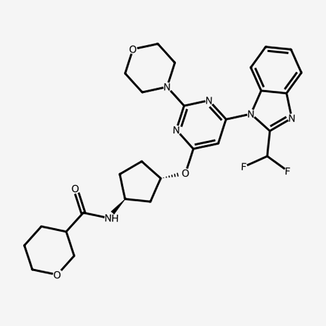 O=C(N[C@H]1CC[C@H](Oc2cc(-n3c(C(F)F)nc4ccccc43)nc(N3CCOCC3)n2)C1)C1CCCOC1